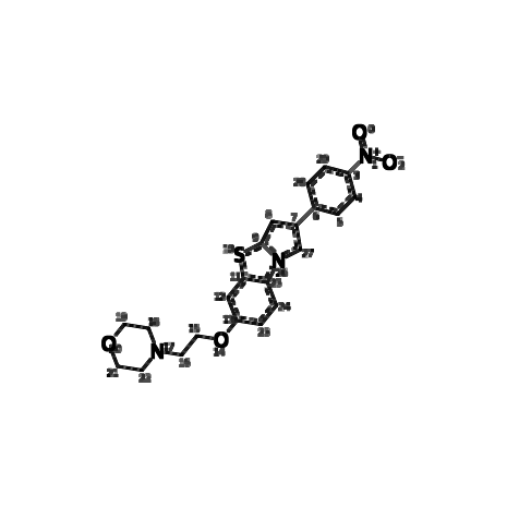 O=[N+]([O-])c1ccc(-c2cc3sc4cc(OCCN5CCOCC5)ccc4n3c2)cc1